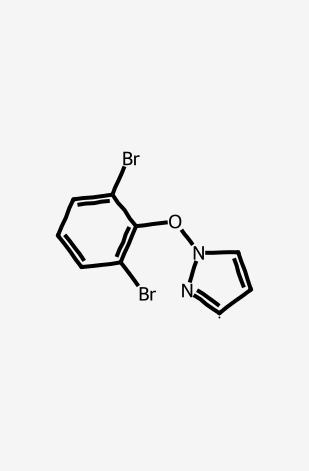 Brc1cccc(Br)c1On1cc[c]n1